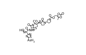 Cc1oc(=O)oc1COC(=O)N1CC[C@@H](N2CC/C(=C\C3=C(C(=O)O)N4C(=O)[C@@H](NC(=O)/C(=N\O)c5nsc([AsH2])n5)[C@H]4SC3)C2=O)C1